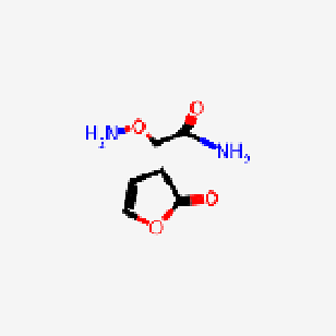 NOCC(N)=O.O=C1CC=CO1